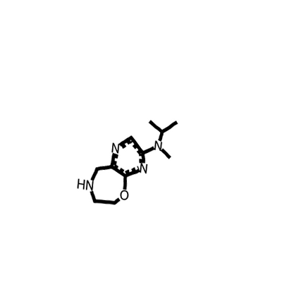 CC(C)N(C)c1cnc2c(n1)OCCNC2